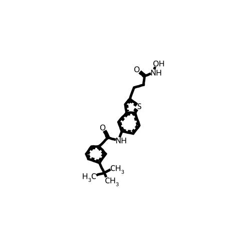 CC(C)(C)c1cccc(C(=O)Nc2ccc3sc(CCC(=O)NO)cc3c2)c1